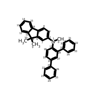 CN(c1ccc2c(c1)C(C)(C)c1ccccc1-2)c1ccc(-c2ccccc2)cc1-c1ccccc1